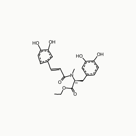 CCOC(=O)[C@H](Cc1ccc(O)c(O)c1)N(C)C(=O)C=Cc1ccc(O)c(O)c1